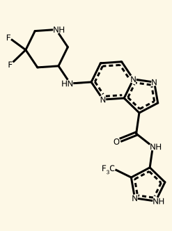 O=C(Nc1c[nH]nc1C(F)(F)F)c1cnn2ccc(NC3CNCC(F)(F)C3)nc12